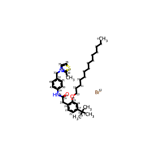 CCCCCCCCCCCCCCOc1cc(C(C)(C)C)ccc1CC(=O)Nc1ccc(C[n+]2ccsc2C)cc1.[Br-]